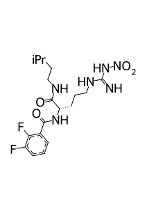 CC(C)CCNC(=O)[C@H](CCCNC(=N)N[N+](=O)[O-])NC(=O)c1cccc(F)c1F